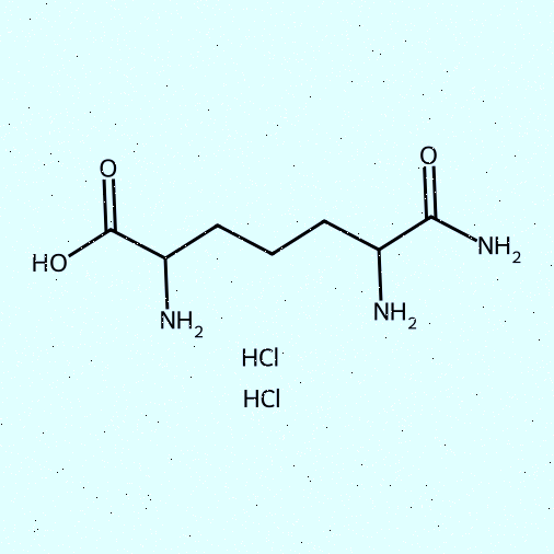 Cl.Cl.NC(=O)C(N)CCCC(N)C(=O)O